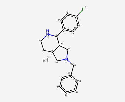 Fc1ccc(C2NCC[C@@H]3CN(Cc4ccccc4)CC23)cc1